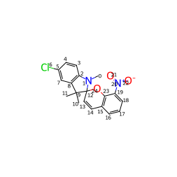 CN1c2ccc(Cl)cc2C(C)(C)C12C=Cc1cccc([N+](=O)[O-])c1O2